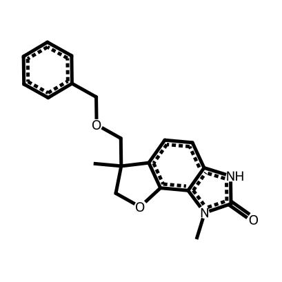 Cn1c(=O)[nH]c2ccc3c(c21)OCC3(C)COCc1ccccc1